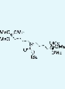 CO[Si](CCCCN(CCCC[Si](OC)(OC)OC)C(=O)OC(C)(C)C)(OC)OC